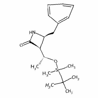 C[C@@H](O[Si](C)(C)C(C)(C)C)[C@H]1C(=O)N[C@H]1Cc1ccccc1